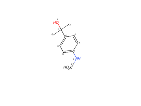 CC(C)(O)c1ccc(NC(=O)O)cc1